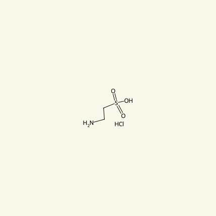 Cl.NCCS(=O)(=O)O